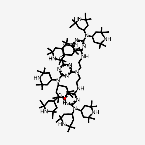 CC1(C)CC(Oc2nc(NCCN(CCNc3nc(OC4CC(C)(C)NC(C)(C)C4)nc(N(C4CC(C)(C)NC(C)(C)C4)C4CC(C)(C)NC(C)(C)C4)n3)c3nc(OC4CC(C)(C)NC(C)(C)C4)nc(N(C4CC(C)(C)NC(C)(C)C4)C4CC(C)(C)NC(C)(C)C4)n3)nc(N(C3CC(C)(C)NC(C)(C)C3)C3CC(C)(C)NC(C)(C)C3)n2)CC(C)(C)N1